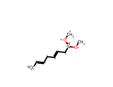 CC=CCC=CC[SiH](OC)OC